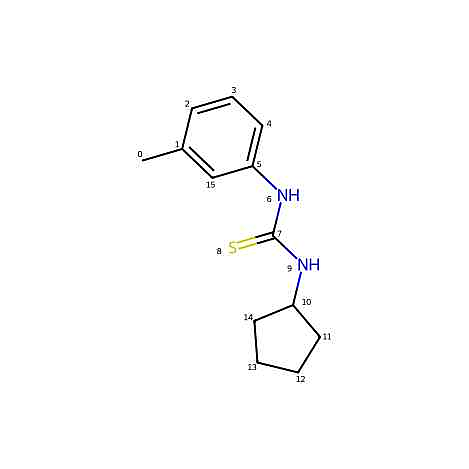 Cc1cccc(NC(=S)NC2CCCC2)c1